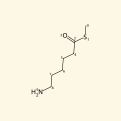 CSC(=O)CCCCCN